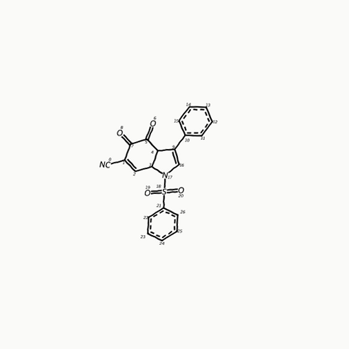 N#CC1=CC2C(C(=O)C1=O)C(c1ccccc1)=CN2S(=O)(=O)c1ccccc1